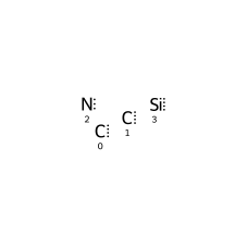 [C].[C].[N].[Si]